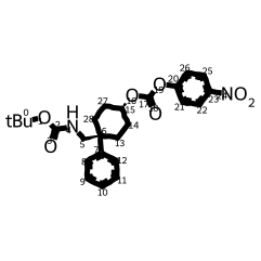 CC(C)(C)OC(=O)NC[C@]1(c2ccccc2)CC[C@@H](OC(=O)Oc2ccc([N+](=O)[O-])cc2)CC1